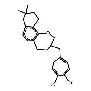 CCC1=CC=C(CC2CCc3ccc4c(c3OC2)CCC(C)(C)C4)CC=C1N=O